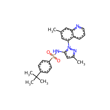 Cc1cc(-n2nc(C)cc2NS(=O)(=O)c2ccc(C(C)(C)C)cc2)c2cccnc2c1